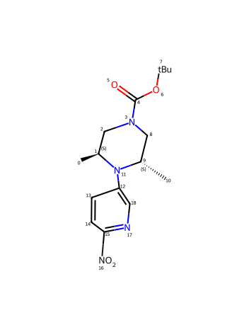 C[C@H]1CN(C(=O)OC(C)(C)C)C[C@H](C)N1c1ccc([N+](=O)[O-])nc1